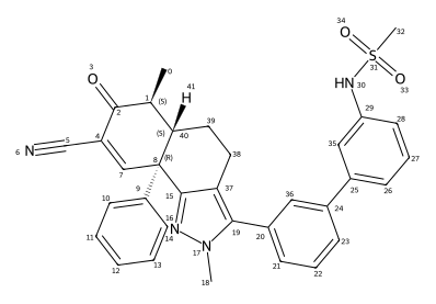 C[C@@H]1C(=O)C(C#N)=C[C@]2(c3ccccc3)c3nn(C)c(-c4cccc(-c5cccc(NS(C)(=O)=O)c5)c4)c3CC[C@@H]12